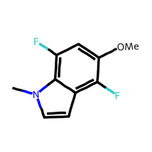 COc1cc(F)c2c(ccn2C)c1F